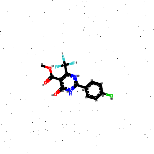 COC(=O)c1c(C(F)(F)F)nc(-c2ccc(Cl)cc2)[nH]c1=O